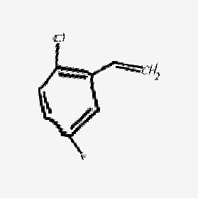 C=Cc1cc(F)ccc1Cl